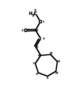 COC(=O)/I=C/C1CCCCCC1